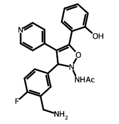 CC(=O)NN1OC(c2ccccc2O)=C(c2ccncc2)C1c1ccc(F)c(CN)c1